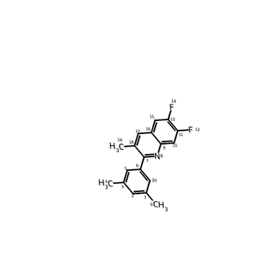 Cc1cc(C)cc(-c2nc3cc(F)c(F)cc3cc2C)c1